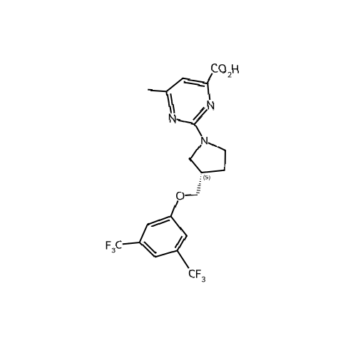 Cc1cc(C(=O)O)nc(N2CC[C@H](COc3cc(C(F)(F)F)cc(C(F)(F)F)c3)C2)n1